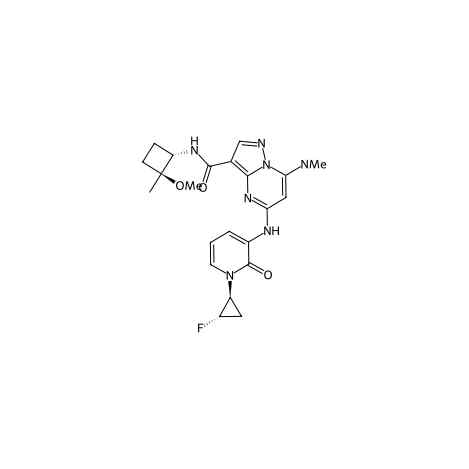 CNc1cc(Nc2cccn([C@H]3C[C@@H]3F)c2=O)nc2c(C(=O)N[C@H]3CC[C@]3(C)OC)cnn12